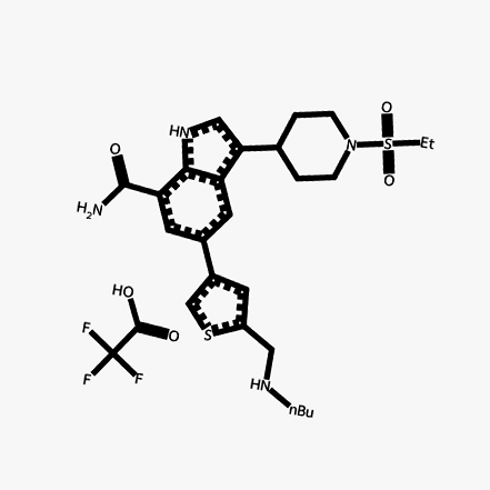 CCCCNCc1cc(-c2cc(C(N)=O)c3[nH]cc(C4CCN(S(=O)(=O)CC)CC4)c3c2)cs1.O=C(O)C(F)(F)F